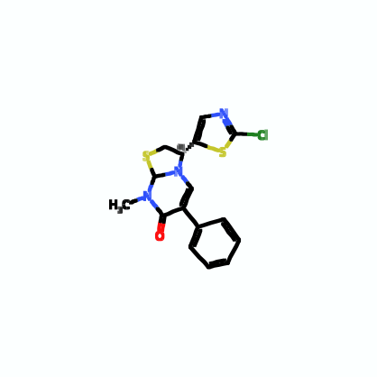 CN1C(=O)C(c2ccccc2)=CN2C1SC[C@@H]2c1cnc(Cl)s1